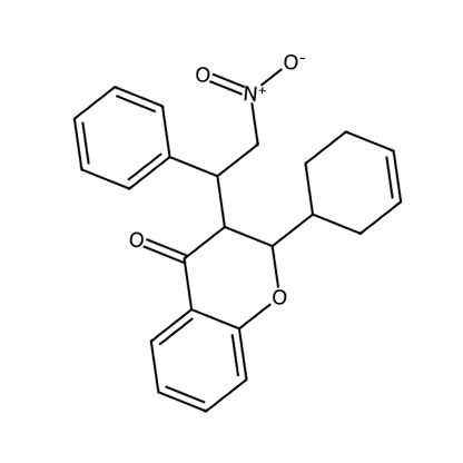 O=C1c2ccccc2OC(C2CC=CCC2)C1C(C[N+](=O)[O-])c1ccccc1